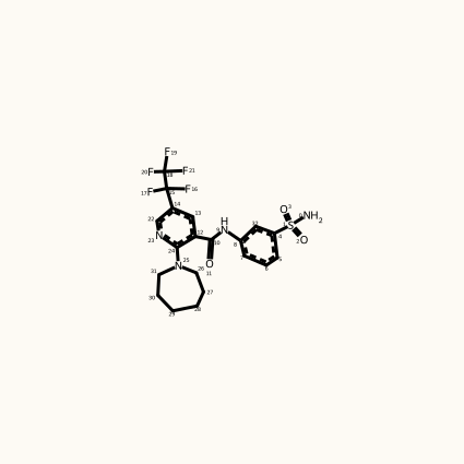 NS(=O)(=O)c1cccc(NC(=O)c2cc(C(F)(F)C(F)(F)F)cnc2N2CCCCCC2)c1